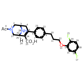 CC(=O)N1CC2CC(c3ccc(CCCOc4cc(F)ccc4F)cc3)=C(C(=O)O)[C@@H](C1)N2